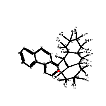 [2H]C1([2H])C2C([2H])(c3cccc4c3ccc3ccccc34)C3([2H])C([2H])([2H])C([2H])([2H])C([2H])([2H])C([2H])([2H])C3([2H])C([2H])([2H])C2([2H])C([2H])([2H])C([2H])([2H])C1([2H])[2H]